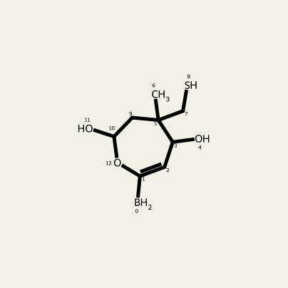 BC1=CC(O)C(C)(CS)CC(O)O1